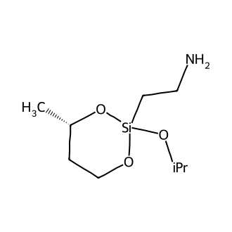 CC(C)O[Si]1(CCN)OCC[C@H](C)O1